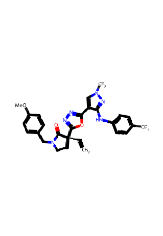 C=C[C@@]1(c2nnc(-c3cn(C(F)(F)F)nc3Nc3ccc(C(F)(F)F)cc3)o2)CCN(Cc2ccc(OC)cc2)C1=O